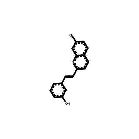 Oc1cccc(C=Cc2ccc3ccc(Cl)cc3n2)c1